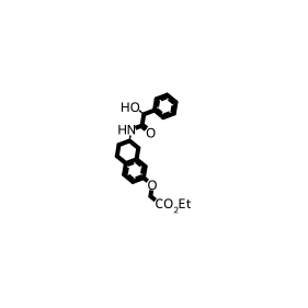 CCOC(=O)COc1ccc2c(c1)C[C@@H](NC(=O)[C@H](O)c1ccccc1)CC2